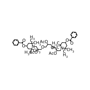 CC(=O)OC(COCC(CN1C(C)(C)CC(OC(=O)c2ccccc2)CC1(C)C)OC(C)=O)COCC(CN1C(C)(C)CC(OC(=O)c2ccccc2)CC1(C)C)OC(C)=O